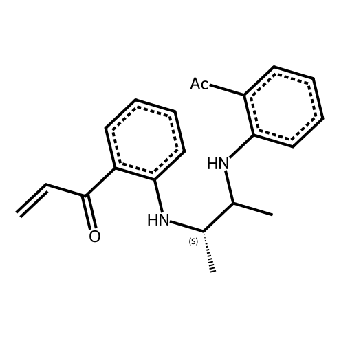 C=CC(=O)c1ccccc1N[C@@H](C)C(C)Nc1ccccc1C(C)=O